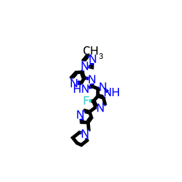 Cc1cn(-c2ccnc3[nH]c(-c4n[nH]c5cnc(-c6cncc(CN7CCCCC7)c6)c(F)c45)nc23)cn1